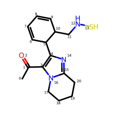 CC(=O)c1c(C2C=CC=CC2CNS)nc2n1CCCC2